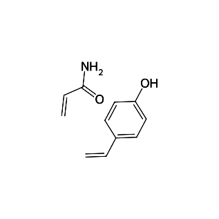 C=CC(N)=O.C=Cc1ccc(O)cc1